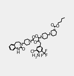 CCCCOC(=O)[C@@H]1CCCN(C2CCN(C(=O)[C@@H](Cc3cc(Cl)c(N)c(C(F)(F)F)c3)OC(=O)N3CCC(N4CCc5ccccc5NC4=O)CC3)CC2)C1